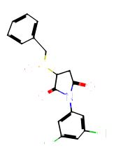 O=C1CC([S+]([O-])Cc2ccccc2)C(=O)N1c1cc(Cl)cc(Cl)c1